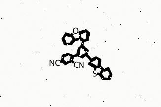 N#Cc1ccc(-c2cc(-c3ccc4c(c3)sc3ccccc34)cc(-c3cccc4oc5ccccc5c34)c2)c(C#N)c1